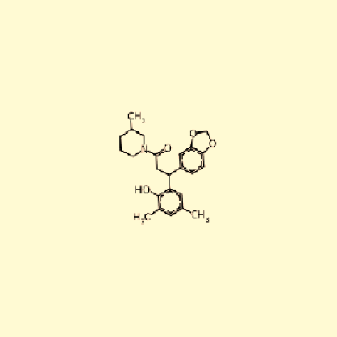 Cc1cc(C)c(O)c(C(CC(=O)N2CCCC(C)C2)c2ccc3c(c2)OCO3)c1